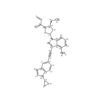 C=CC(=O)N1CC(n2nc(C#Cc3ccc4c(c3)ncn4C3CC3)c3c(N)ncnc32)C[C@@H]1CC#N